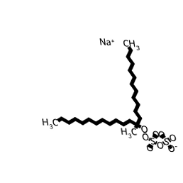 CCCCCCCCCCCCC(C)(CCCCCCCCCCCC)OOS(=O)(=O)OS(=O)(=O)[O-].[Na+]